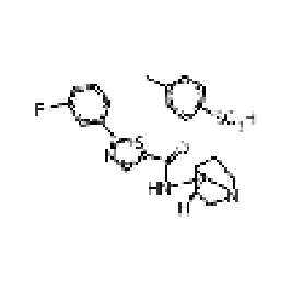 Cc1ccc(S(=O)(=O)O)cc1.O=C(N[C@H]1CN2CCC1CC2)c1cnc(-c2cccc(F)c2)s1